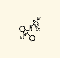 CCn1c(-c2ccccc2)c(N=Nc2sc(Br)c[n+]2CC)c2ccccc21